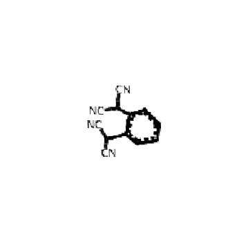 N#CC(C#N)c1ccccc1C(C#N)C#N